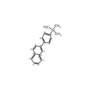 C[Si](C)(C)c1ccc(-c2ccc3ccccc3c2)cc1